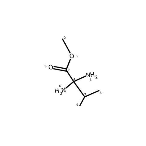 COC(=O)C(N)(N)C(C)C